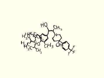 Cc1cc(C(O)[C@@H](C)N2CCC(O)(c3ccc(C(F)(F)F)cc3)CC2)cc(C)c1O[Si](C(C)C)(C(C)C)C(C)C